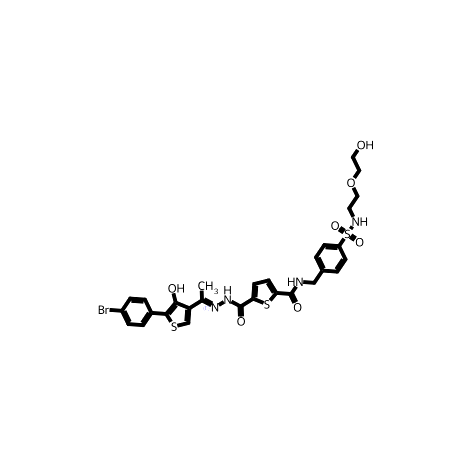 C/C(=N\NC(=O)c1ccc(C(=O)NCc2ccc(S(=O)(=O)NCCOCCO)cc2)s1)c1csc(-c2ccc(Br)cc2)c1O